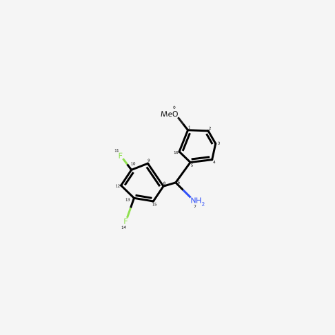 COc1cccc(C(N)c2cc(F)cc(F)c2)c1